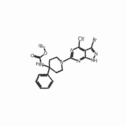 CC(C)(C)OC(=O)NC1(c2ccccc2)CCN(c2nc(C#N)c3c(Br)n[nH]c3n2)CC1